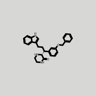 O=C1NCCN[C@@H]1C(CCc1c[nH]c2ccccc12)c1cccc(OCc2ccccc2)c1